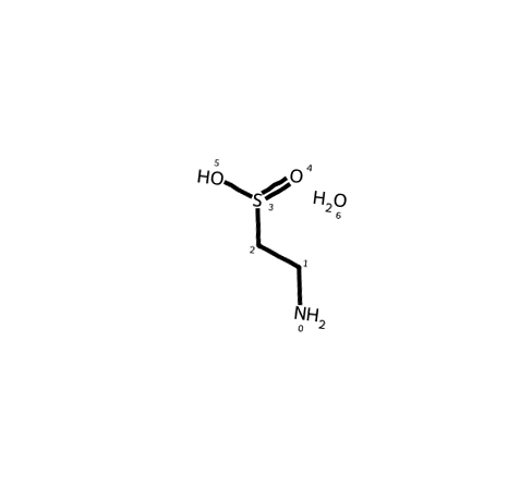 NCCS(=O)O.O